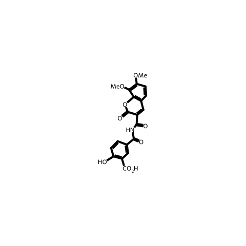 COc1ccc2cc(C(=O)NC(=O)c3ccc(O)c(C(=O)O)c3)c(=O)oc2c1OC